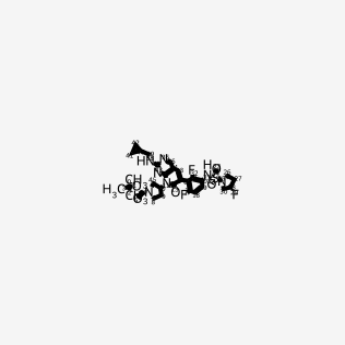 CC(C)(C)OC(=O)N1CCC(n2c(=O)c(-c3c(F)ccc(NS(=O)(=O)N4CC[C@@H](F)C4)c3F)cc3cnc(NCC4CC4)nc32)C1